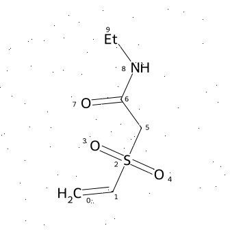 C=CS(=O)(=O)CC(=O)NCC